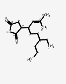 CCCC(CC)CCC(C=C(C)C)C1CC(=O)OC1=O